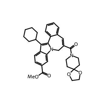 COC(=O)c1ccc2c(C3CCCCC3)c3n(c2c1)CC(C(=O)N1CCC2(CC1)OCCO2)=Cc1ccccc1-3